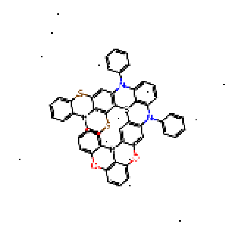 c1ccc(N2c3cc4c(cc3B3c5c2cccc5N(c2ccccc2)c2cc5c6c(c23)Sc2ccccc2B6c2ccccc2S5)B2c3ccccc3Oc3cccc(c32)O4)cc1